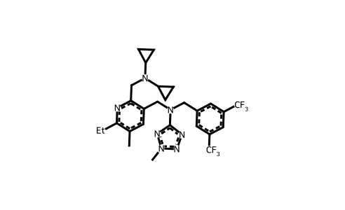 CCc1nc(CN(C2CC2)C2CC2)c(CN(Cc2cc(C(F)(F)F)cc(C(F)(F)F)c2)c2nnn(C)n2)cc1C